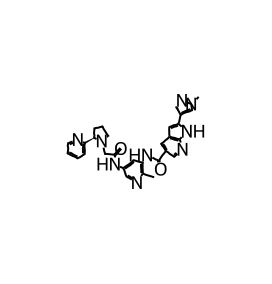 Cc1ncc(NC(=O)CN2CCC[C@@H]2c2ccccn2)cc1NC(=O)c1cnc2[nH]c(-c3cnn(C)c3)cc2c1